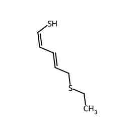 CCSC/C=C/C=C\S